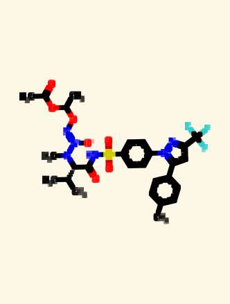 CC(=O)OC(C)O/N=[N+](\[O-])N(C)[C@H](C(=O)NS(=O)(=O)c1ccc(-n2nc(C(F)(F)F)cc2-c2ccc(C)cc2)cc1)C(C)C